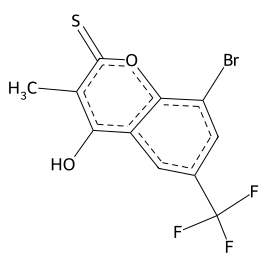 Cc1c(O)c2cc(C(F)(F)F)cc(Br)c2oc1=S